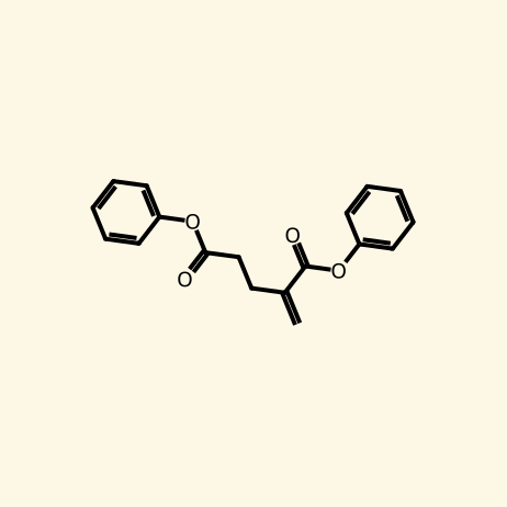 C=C(CCC(=O)Oc1ccccc1)C(=O)Oc1ccccc1